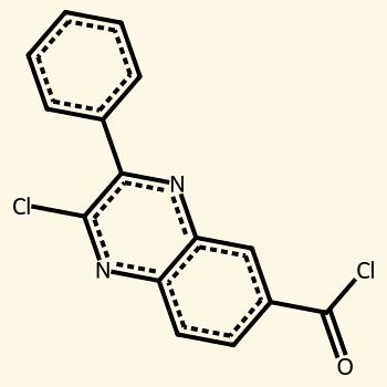 O=C(Cl)c1ccc2nc(Cl)c(-c3ccccc3)nc2c1